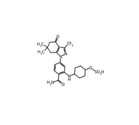 CC1(C)CC(=O)c2c(C(F)(F)F)nn(-c3ccc(C(N)=O)c(NC4CCC(OS(=O)(=O)O)CC4)c3)c2C1